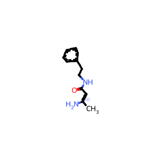 C/C(N)=C/C(=O)NCCc1ccccc1